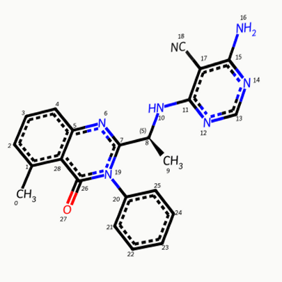 Cc1cccc2nc([C@H](C)Nc3ncnc(N)c3C#N)n(-c3ccccc3)c(=O)c12